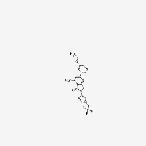 CCOc1cncc(-c2cc(C)c3c(n2)CN(c2cn(CC(F)(F)F)cn2)C3=O)c1